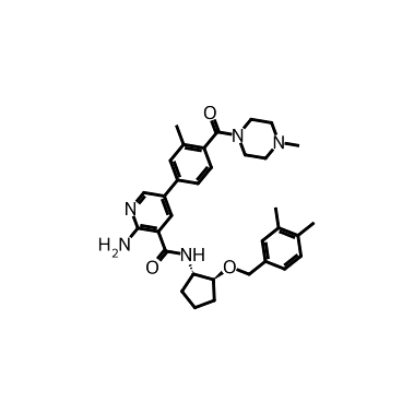 Cc1ccc(CO[C@H]2CCC[C@@H]2NC(=O)c2cc(-c3ccc(C(=O)N4CCN(C)CC4)c(C)c3)cnc2N)cc1C